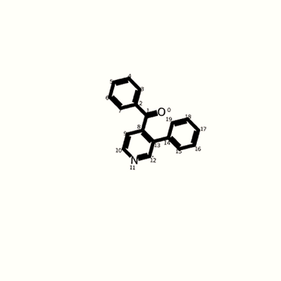 O=C(c1ccccc1)c1ccn[c]c1-c1ccccc1